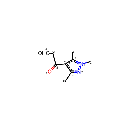 Cc1nn(C)c(C)c1C(=O)CC=O